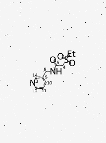 [CH2]CS(=O)(=O)CC(=O)NCc1cccnc1